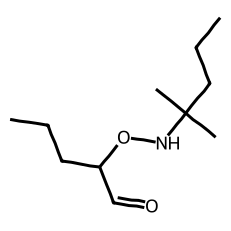 CCCC(C=O)ONC(C)(C)CCC